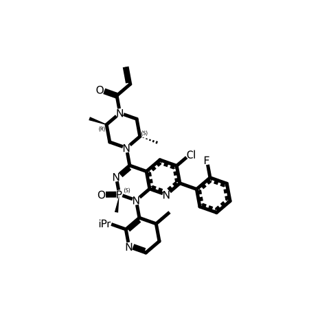 C=CC(=O)N1C[C@H](C)N(C2=N[P@@](C)(=O)N(C3=C(C(C)C)N=CCC3C)c3nc(-c4ccccc4F)c(Cl)cc32)C[C@H]1C